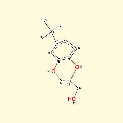 CC(C)(C)c1ccc2c(c1)OCC(CO)O2